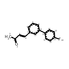 CC(=O)C=Cc1cccc(-c2ccc(F)cc2)c1